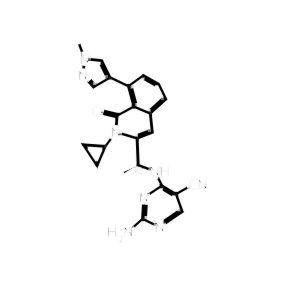 C[C@H](Nc1nc(N)ncc1C#N)c1cc2cccc(-c3cnn(C)c3)c2c(=O)n1C1CC1